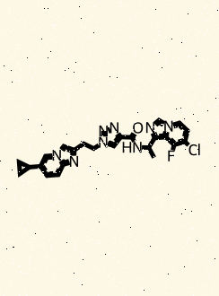 CC(NC(=O)c1cn(CCc2cn3cc(C4CC4)ccc3n2)nn1)c1ncn2ccc(Cl)c(F)c12